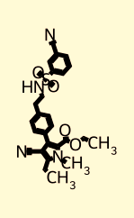 CCOC(=O)c1c(-c2ccc(CCNS(=O)(=O)c3cccc(C#N)c3)cc2)c(C#N)c(CC)n1C